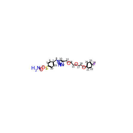 NOOSc1ccc(Cn2cc(COCCOCCOc3ccc(I)cc3)nn2)cc1